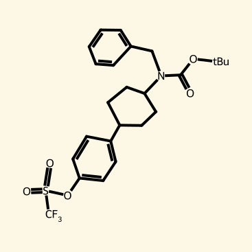 CC(C)(C)OC(=O)N(Cc1ccccc1)C1CCC(c2ccc(OS(=O)(=O)C(F)(F)F)cc2)CC1